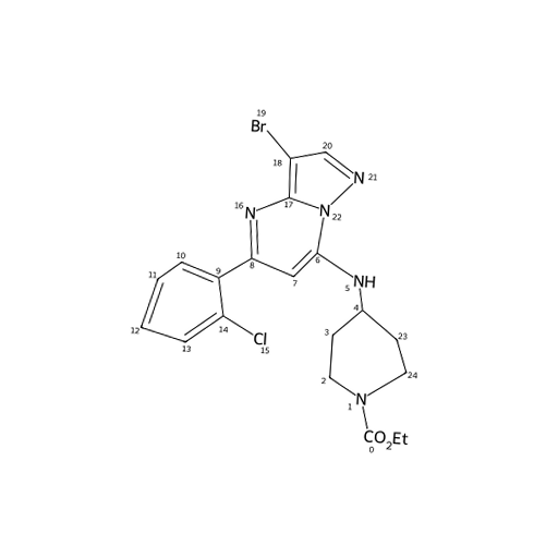 CCOC(=O)N1CCC(Nc2cc(-c3ccccc3Cl)nc3c(Br)cnn23)CC1